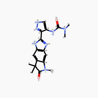 CCN1C(=O)C(C)(C)c2cc3[nH]c(-c4n[nH]cc4NC(=O)N(C)C)nc3cc21